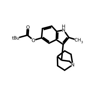 Cc1[nH]c2ccc(OC(=O)C(C)(C)C)cc2c1C1CN2CCC1CC2